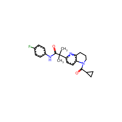 CC(C)(C(=O)Nc1ccc(F)cc1)c1ccc2c(n1)CCCN2C(=O)C1CC1